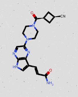 N#C[C@H]1C[C@@H](C(=O)N2CCN(c3cnc4[nH]cc(/C=C/C(N)=O)c4n3)CC2)C1